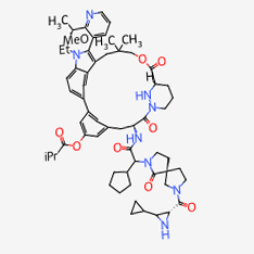 CCn1c(-c2cccnc2[C@H](C)OC)c2c3cc(ccc31)-c1cc(cc(OC(=O)C(C)C)c1)C[C@H](NC(=O)C(C1CCCC1)N1CC[C@]3(CCN(C(=O)[C@@H]4NC4C4CC4)C3)C1=O)C(=O)N1CCC[C@H](N1)C(=O)OCC(C)(C)C2